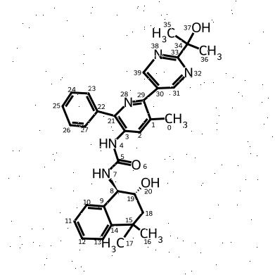 Cc1cc(NC(=O)N[C@@H]2c3ccccc3C(C)(C)C[C@H]2O)c(-c2ccccc2)nc1-c1cnc(C(C)(C)O)nc1